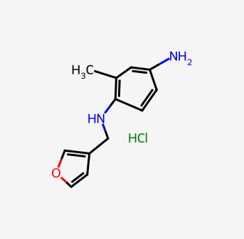 Cc1cc(N)ccc1NCc1ccoc1.Cl